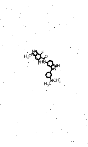 CN(C)c1cccc(-c2n[nH]c3ccc(NC(=O)c4c(F)cc5c(cnn5C)c4F)cc23)c1